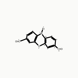 CCN1c2ccc(C=O)cc2Oc2cc(C=O)ccc21